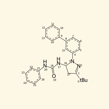 CC(C)(C)C1=NN(c2cccc(-c3ccccc3)c2)C(NC(=O)Nc2ccccc2)C1